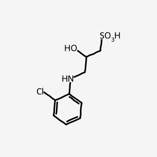 O=S(=O)(O)CC(O)CNc1ccccc1Cl